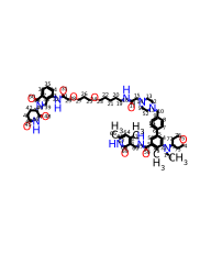 CCN(c1cc(-c2ccc(CN3CCN(CC(=O)NCCCCCOCCCOCC(=O)Nc4cccc5c4CN(C4CCC(=O)NC4=O)C5=O)CC3)cc2)cc(C(=O)NCc2c(C)cc(C)[nH]c2=O)c1C)C1CCOCC1